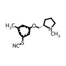 Cc1cc(OC[C@@H]2CCCN2C)cc(SC#N)c1